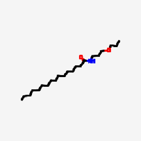 CCCCCCCCCCCCCCCC(=O)NCCCOCCC